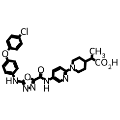 CC(C(=O)O)C1CCN(c2ccc(NC(=O)c3nnc(Nc4ccc(Oc5ccc(Cl)cc5)cc4)o3)cn2)CC1